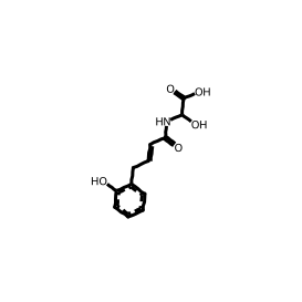 O=C(C=CCc1ccccc1O)NC(O)C(=O)O